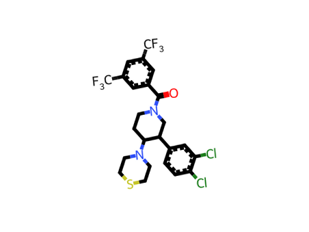 O=C(c1cc(C(F)(F)F)cc(C(F)(F)F)c1)N1CCC(N2CCSCC2)C(c2ccc(Cl)c(Cl)c2)C1